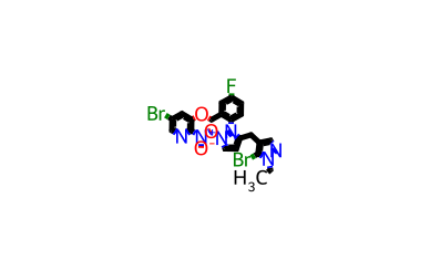 CCn1ncc(Cc2ccnn2-c2ccc(F)cc2COc2cc(Br)cnc2[N+](=O)[O-])c1Br